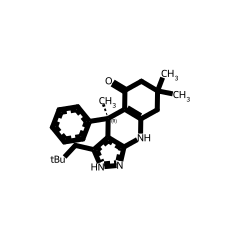 CC(C)(C)Cc1[nH]nc2c1[C@@](C)(c1ccccc1)C1=C(CC(C)(C)CC1=O)N2